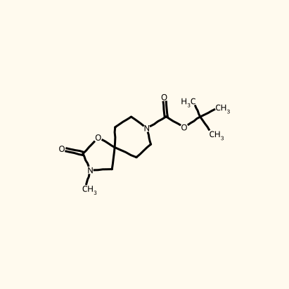 CN1CC2(CCN(C(=O)OC(C)(C)C)CC2)OC1=O